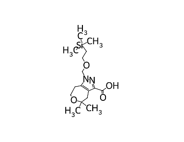 CC1(C)Cc2c(C(=O)O)nn(COCC[Si](C)(C)C)c2CCO1